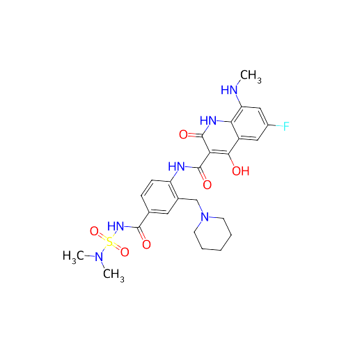 CNc1cc(F)cc2c(O)c(C(=O)Nc3ccc(C(=O)NS(=O)(=O)N(C)C)cc3CN3CCCCC3)c(=O)[nH]c12